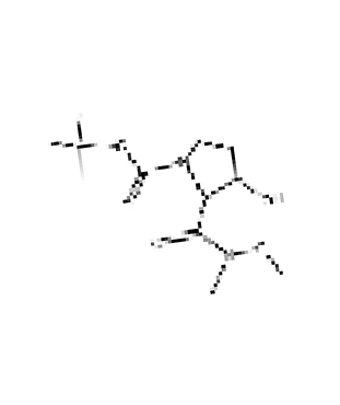 CON(C)C(=O)C1C(O)CCN1C(=O)OC(C)(C)C